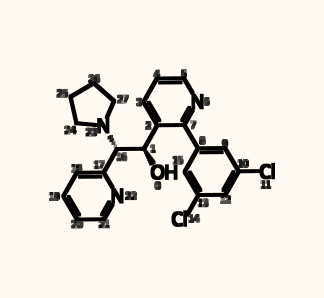 O[C@H](c1cccnc1-c1cc(Cl)cc(Cl)c1)[C@H](c1ccccn1)N1CCCC1